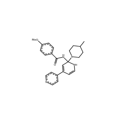 COc1ccc(C(=O)NC2(N3CCC(C)CC3)C=C(c3ccncc3)C=CN2)cc1